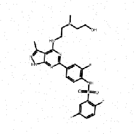 Cc1n[nH]c2nc(-c3ccc(NS(=O)(=O)c4cc(F)ccc4F)c(F)c3)nc(NCCN(C)CCO)c12